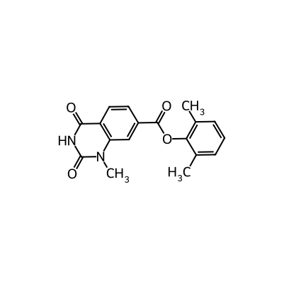 Cc1cccc(C)c1OC(=O)c1ccc2c(=O)[nH]c(=O)n(C)c2c1